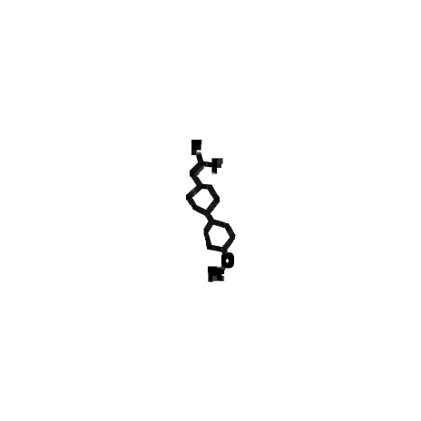 CCOC1CCC(C2CCC(C=C(F)F)CC2)CC1